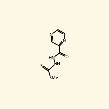 CSC(=S)NNC(=O)c1cnccn1